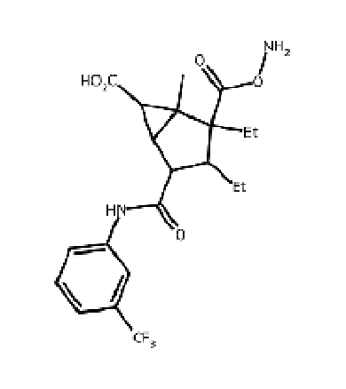 CCC1C(C(=O)Nc2cccc(C(F)(F)F)c2)C2C(C(=O)O)C2(C)C1(CC)C(=O)ON